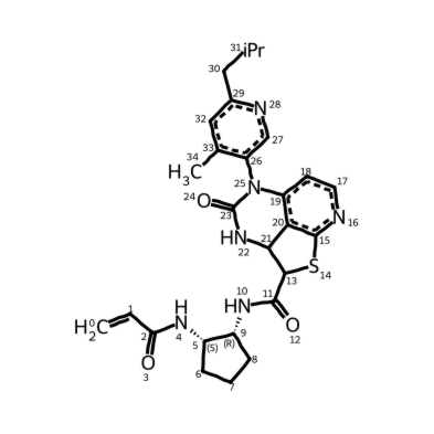 C=CC(=O)N[C@H]1CCC[C@H]1NC(=O)C1Sc2nccc3c2C1NC(=O)N3c1cnc(CC(C)C)cc1C